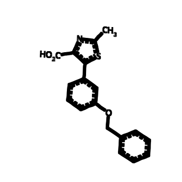 Cc1nc(C(=O)O)c(-c2cccc(OCc3ccccc3)c2)s1